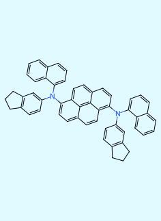 c1ccc2c(N(c3ccc4c(c3)CCC4)c3ccc4ccc5c(N(c6ccc7c(c6)CCC7)c6cccc7ccccc67)ccc6ccc3c4c65)cccc2c1